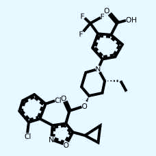 CC[C@@H]1C[C@H](OC(=O)c2c(-c3c(Cl)cccc3Cl)noc2C2CC2)CCN1c1ccc(C(=O)O)c(C(F)(F)F)c1